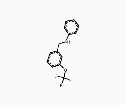 FC(F)(F)Oc1cccc(CNc2cc[c]cc2)c1